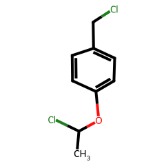 CC(Cl)Oc1ccc(CCl)cc1